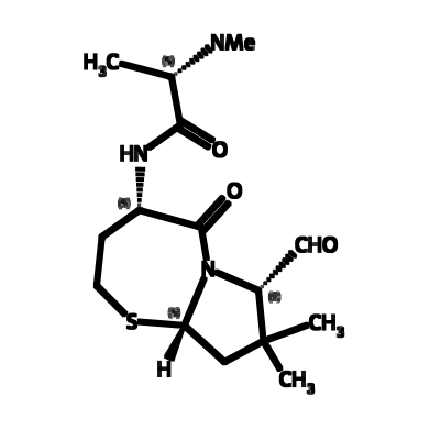 CN[C@@H](C)C(=O)N[C@H]1CCS[C@H]2CC(C)(C)[C@@H](C=O)N2C1=O